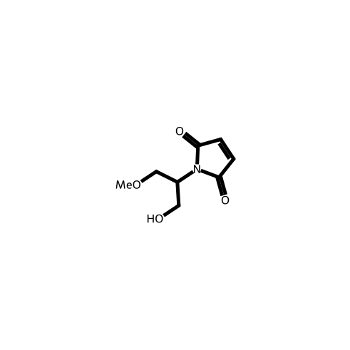 COCC(CO)N1C(=O)C=CC1=O